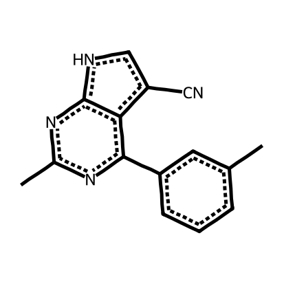 Cc1cccc(-c2nc(C)nc3[nH]cc(C#N)c23)c1